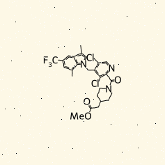 COC(=O)CC1CCN(C(=O)c2ncc(Cl)c(Cn3cc(C)c4cc(C(F)(F)F)cc(C)c43)c2Cl)CC1